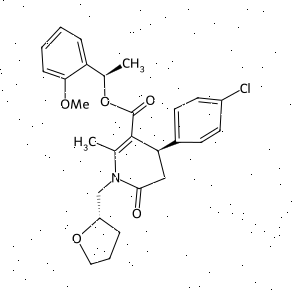 COc1ccccc1[C@@H](C)OC(=O)C1=C(C)N(C[C@@H]2CCCO2)C(=O)C[C@@H]1c1ccc(Cl)cc1